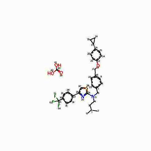 CC(C)CCN(Cc1ccc(COc2ccc(C3CC3)cc2)cc1)c1nc(-c2ccc(C(F)(F)F)cc2)cs1.O=C(O)O